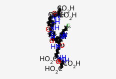 O=C(O)CC[C@H](NC(=O)N[C@@H](CCCCNC(=O)c1cc(C(=O)N2CCN(C(=O)Nc3ccc(C[C@H](NC(=O)N[C@@H](CCC(=O)O)C(=O)O)C(=O)O)cc3)CC2)cc(-n2cc(CCCF)nn2)c1)C(=O)O)C(=O)O